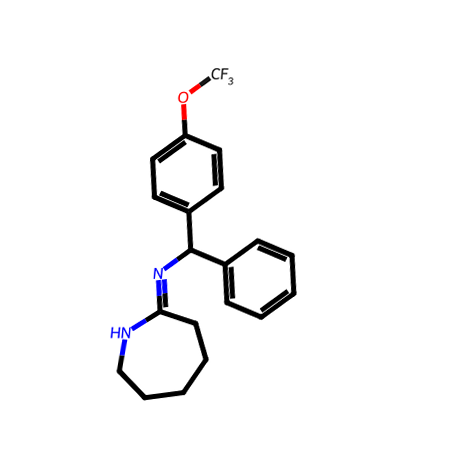 FC(F)(F)Oc1ccc(C(N=C2CCCCCN2)c2ccccc2)cc1